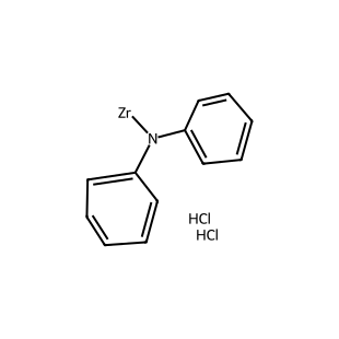 Cl.Cl.[Zr][N](c1ccccc1)c1ccccc1